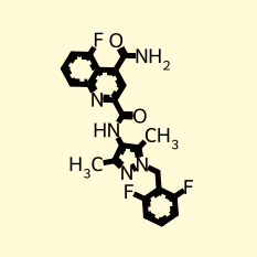 Cc1nn(Cc2c(F)cccc2F)c(C)c1NC(=O)c1cc(C(N)=O)c2c(F)cccc2n1